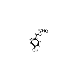 O=COCc1ccc(O)cn1